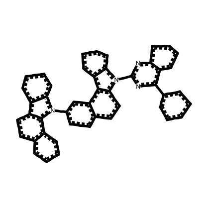 c1ccc(-c2nc(-n3c4ccccc4c4c5cc(-n6c7ccccc7c7ccc8ccccc8c76)ccc5ccc43)nc3ccccc23)cc1